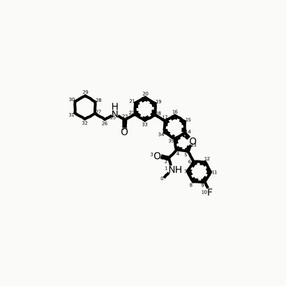 CNC(=O)c1c(-c2ccc(F)cc2)oc2ccc(-c3cccc(C(=O)NCC4CCCCC4)c3)cc12